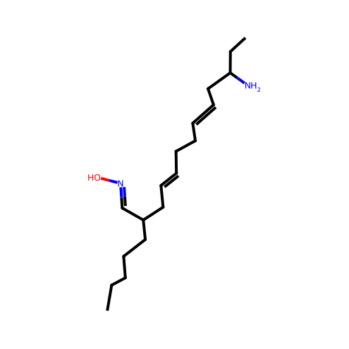 CCCCCC(C=NO)CC=CCCC=CCC(N)CC